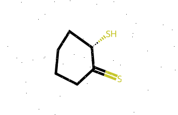 S=C1CCCC[C@@H]1S